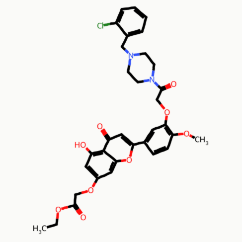 CCOC(=O)COc1cc(O)c2c(=O)cc(-c3ccc(OC)c(OCC(=O)N4CCN(Cc5ccccc5Cl)CC4)c3)oc2c1